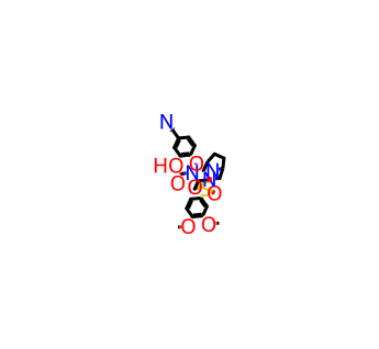 COc1ccc(S(=O)(=O)N2CC3CCC(C2)N3CC(C)N(Oc2ccc(C#N)cc2)C(=O)O)cc1OC